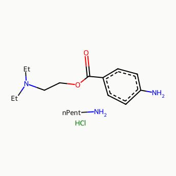 CCCCCN.CCN(CC)CCOC(=O)c1ccc(N)cc1.Cl